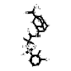 Cc1c(Cl)cccc1S(=O)(=O)NC(C)(C)C(=O)NC1C2CC3CC1CC(C(N)=O)(C3)C2